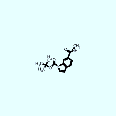 CNC(=O)c1ccc2ccn(C(=O)OC(C)(C)C)c2c1